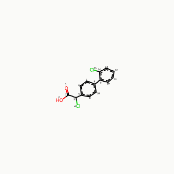 O=C(O)C(Cl)c1ccc(-c2ccccc2Cl)cc1